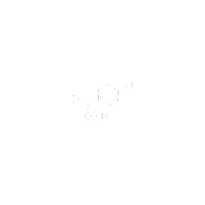 CCC(C(=O)O)c1ccc(Cl)cc1